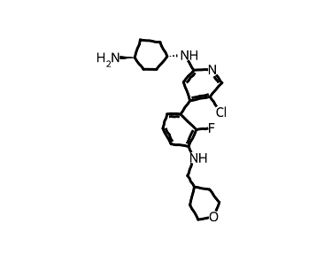 N[C@H]1CC[C@H](Nc2cc(-c3cccc(NCC4CCOCC4)c3F)c(Cl)cn2)CC1